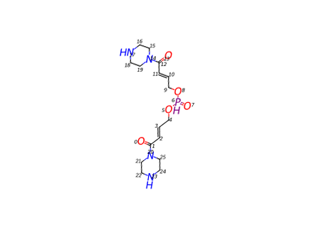 O=C(C=CCO[PH](=O)OCC=CC(=O)N1CCNCC1)N1CCNCC1